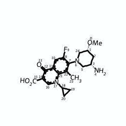 CO[C@@H]1C[C@H](N)CN(c2c(F)cc3c(=O)c(C(=O)O)cn(C4CC4)c3c2C)C1